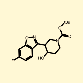 CC(C)(C)OC(=O)N1CCC(O)C(c2noc3cc(F)ccc23)C1